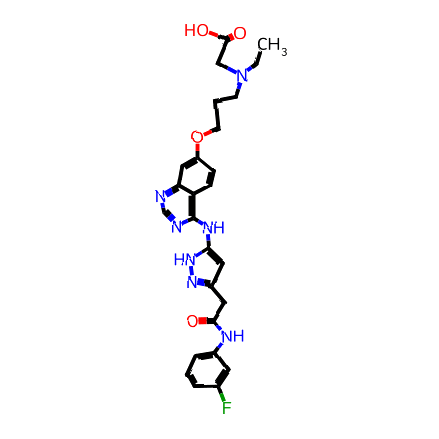 CCN(CCCOc1ccc2c(Nc3cc(CC(=O)Nc4cccc(F)c4)n[nH]3)ncnc2c1)CC(=O)O